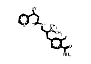 CC(C)C(CC(=O)NCC(Cc1ccc(C(N)=O)c(F)c1)N(C)C)c1cccnc1